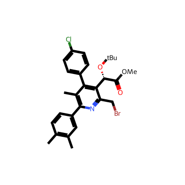 COC(=O)[C@@H](OC(C)(C)C)c1c(CBr)nc(-c2ccc(C)c(C)c2)c(C)c1-c1ccc(Cl)cc1